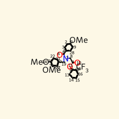 COc1ccc(C(=O)N(CC(=O)Oc2ccccc2C(F)(F)F)Cc2ccc(OC)cc2OC)cc1